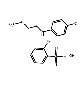 Cl.NS(=O)(=O)c1ccccc1Br.O=C(O)OCCNc1ccc(Cl)cc1